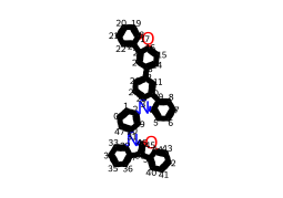 c1cc(-n2c3ccccc3c3cc(-c4ccc5oc6ccccc6c5c4)ccc32)cc(-n2c3ccccc3c3c4ccccc4oc32)c1